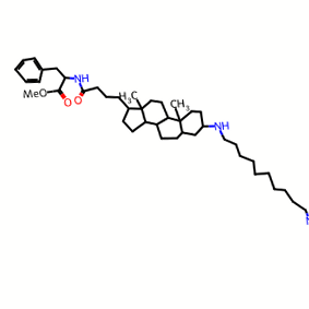 COC(=O)C(Cc1ccccc1)NC(=O)CCCC1CCC2C3CCC4CC(NCCCCCCCCCCN)CCC4(C)C3CCC12C